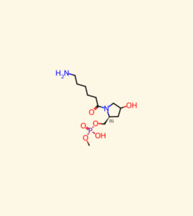 COP(=O)(O)OC[C@@H]1CC(O)CN1C(=O)CCCCCN